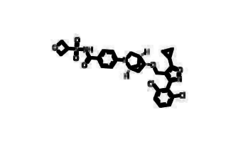 O=C(NS(=O)(=O)C1COC1)c1ccc(N2C[C@@H]3C[C@H]2C[C@H]3OCc2c(-c3c(Cl)cccc3Cl)noc2C2CC2)cc1